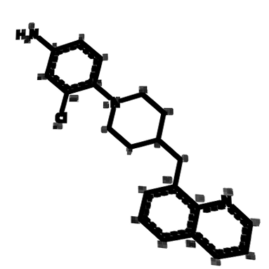 Nc1ccc(N2CCC(Cc3cccc4cccnc34)CC2)c(Cl)c1